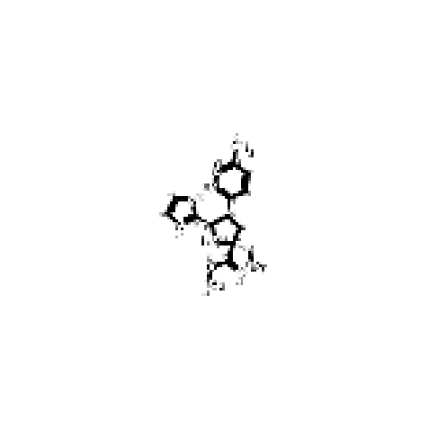 Cc1ccc([C@H]2C[C@@](CC(C)C)(C(=O)OC(C)(C)C)N[C@H]2c2nccs2)nn1